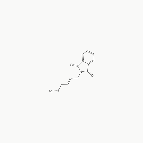 CC(=O)SCC=CCN1C(=O)c2ccccc2C1=O